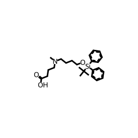 CN(CCCCO[Si](c1ccccc1)(c1ccccc1)C(C)(C)C)CCCC(=O)O